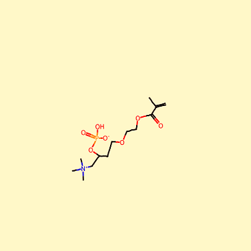 C=C(C)C(=O)OCCOCCC(C[N+](C)(C)C)OP(=O)([O-])O